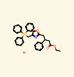 CCOC(=O)CC(Cc1nc(C[P+](c2ccccc2)(c2ccccc2)c2ccccc2)co1)c1ccccc1.[Br-]